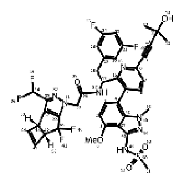 COc1ccc(-c2ccc(C#CC(C)(C)O)nc2[C@H](Cc2cc(F)cc(F)c2)NC(=O)Cn2nc(C(F)F)c3c2C(F)(F)[C@@H]2C=C[C@H]32)c2c1c(NS(C)(=O)=O)nn2C